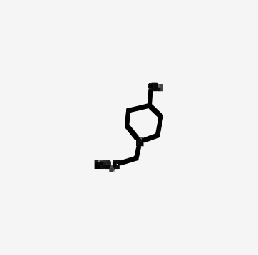 CCOC(=O)CN1CCC(C(C)(C)C)CC1